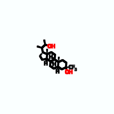 C[C@H]([C@H]1CC[C@H]2[C@@H]3CC[C@@H]4C[C@@](O)(C(F)(F)F)CC[C@]4(C)[C@H]3CC[C@]12C)[C@@H](C)O